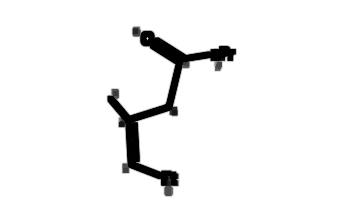 CCC=C(C)CC(=O)CCC